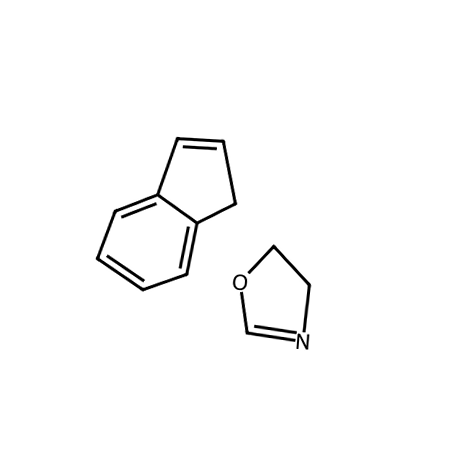 C1=Cc2ccccc2C1.C1=NCCO1